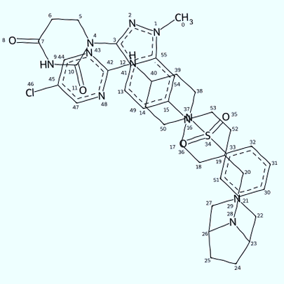 Cn1nc(N2CCC(=O)NC2=O)c2ccc(N3CCC(CN4CC5CCC(C4)N5c4cccc(S(=O)(=O)N5CCC(Nc6ncc(Cl)cn6)CC5)c4)CC3)cc21